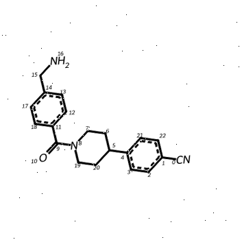 N#Cc1ccc(C2CCN(C(=O)c3[c]cc(CN)cc3)CC2)cc1